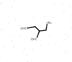 CCCCCC([C]=O)CC=O